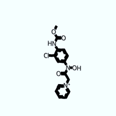 COC(=O)Nc1ccc(N(O)C(=O)C[n+]2ccccc2)cc1Cl